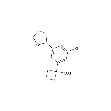 O=C(O)C1(c2cc(Cl)cc(C3OCCO3)c2)CCC1